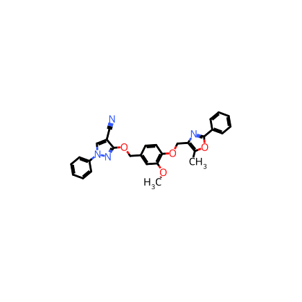 COc1cc(COc2nn(-c3ccccc3)cc2C#N)ccc1OCc1nc(-c2ccccc2)oc1C